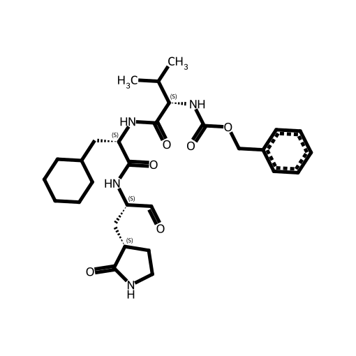 CC(C)[C@H](NC(=O)OCc1ccccc1)C(=O)N[C@@H](CC1CCCCC1)C(=O)N[C@H](C=O)C[C@@H]1CCNC1=O